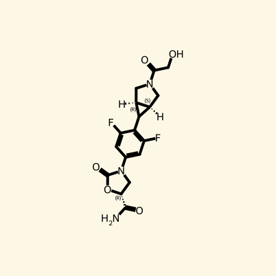 NC(=O)[C@H]1CN(c2cc(F)c(C3[C@H]4CN(C(=O)CO)C[C@@H]34)c(F)c2)C(=O)O1